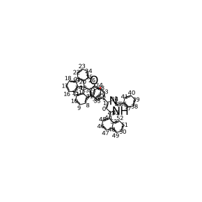 C1=C(c2cccc(-c3ccccc3C3(c4ccccc4)c4ccccc4Oc4ccccc43)c2)N=C(c2ccccc2)NC1c1cccc2ccccc12